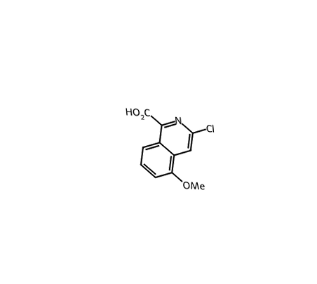 COc1cccc2c(C(=O)O)nc(Cl)cc12